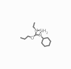 CCCOC1N(CC)[SiH2]N1C1CCCCC1